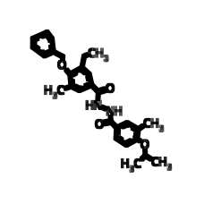 CCc1cc(C(=O)NNC(=O)c2ccc(OC(C)C)c(C)c2)cc(C)c1OCc1ccccc1